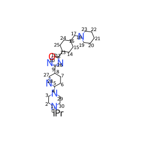 CC(C)N1CCN(C2CCC(c3noc(C4CCC(CN5CCCCC5)CC4)n3)C=N2)CC1